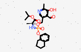 Cc1ncc(COP(=O)(N[C@@H](C)C(=O)OC(C)C)Oc2cccc3c2CCCC3)c(C=O)c1O